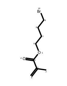 C=C(C)C(=O)OCCCCBr